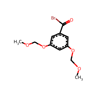 COCOc1cc(OCOC)cc(C(=O)Br)c1